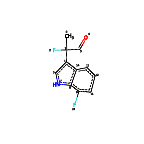 CC(F)(C=O)c1c[nH]c2c(F)cccc12